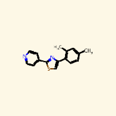 Cc1ccc(-c2csc(-c3ccncc3)n2)c(C)c1